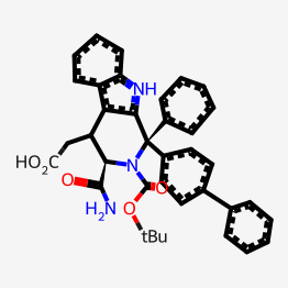 CC(C)(C)OC(=O)N1[C@@H](C(N)=O)C(CC(=O)O)c2c([nH]c3ccccc23)[C@]1(c1ccccc1)c1ccc(-c2ccccc2)cc1